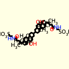 C[C@H](CCC(=O)NCCS(=O)(=O)O)[C@H]1CC[C@H]2[C@@H]3[C@@H](O)CC4CC(C5CC[C@@]6(C)C(C5)C[C@H](O)[C@H]5[C@@H]7CC[C@H]([C@@H](C)CCC(=O)NCCS(=O)(=O)O)[C@@]7(C)CC[C@@H]56)CC[C@]4(C)[C@H]3CC[C@]12C